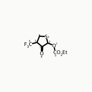 CCOC(=O)OC1SCC(C(F)(F)F)C1=O